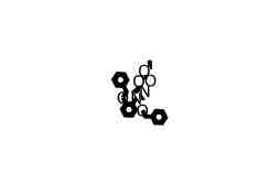 CCOC(=O)Oc1cn(-c2c(OCc3ccccc3)cccc2OCc2ccccc2)cn1